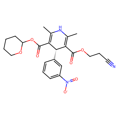 CC1=C(C(=O)OCCC#N)[C@H](c2cccc([N+](=O)[O-])c2)C(C(=O)OC2CCCCO2)=C(C)N1